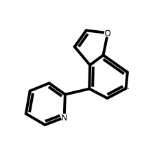 [c]1cc(-c2ccccn2)c2ccoc2c1